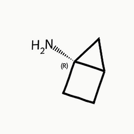 N[C@@]12CCC1C2